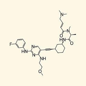 COCCNc1nc(Nc2cccc(F)c2)ncc1C#C[C@@H]1CCC[C@H](NC(=O)[C@H](C)N(C)C(=O)/C=C/CN(C)C)C1